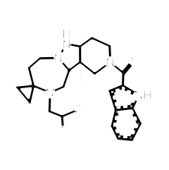 [2H]C12CN(CC(F)F)C3(CCN1NC1CCN(C(=O)c4cc5ccccc5[nH]4)CC12)CC3